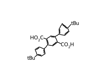 CC(C)(C)c1ccc(-c2cc(C(=O)O)c(-c3ccc(C(C)(C)C)cc3)cc2C(=O)O)cc1